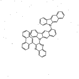 c1ccc2cc3c(cc2c1)c1ccccc1n3-c1cccc2cc3c(cc12)c1ccccc1n3-c1nc2ccccc2nc1-c1cc2ccccc2c2ccccc12